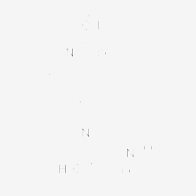 COc1nc(OC[C@@H]2CCCN2C(=O)O)ccc1[N+](=O)[O-]